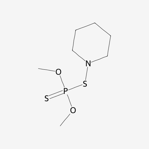 COP(=S)(OC)SN1CCCCC1